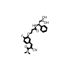 CN(C)C(=O)C(C#N)=Cc1ccc(F)c(OCCC(=O)N[C@@H](CB(O)O)c2ccccc2)c1